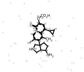 Cc1c(C23CCC(N)C2CNC3)c(F)cn2c(=O)c(OC(=O)O)cc(C3CC3)c12